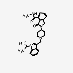 CNC(=O)c1cccc2c1C(=O)N(C1CCN(Cc3cn(C(C)C)c4ccccc34)CC1)C2